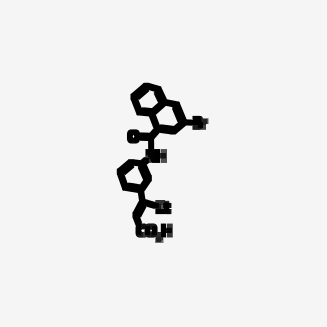 CC/C(=C\C(=O)O)c1cccc(NC(=O)c2cc(Br)cc3ccccc23)c1